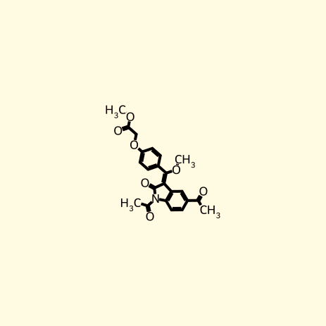 COC(=O)COc1ccc(C(OC)=C2C(=O)N(C(C)=O)c3ccc(C(C)=O)cc32)cc1